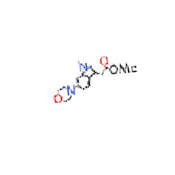 COC(=O)Cc1cn(C)c2cc(N3CCOCC3)ccc12